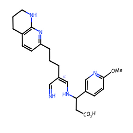 COc1ccc(C(CC(=O)O)N/C=C(\C=N)CCCc2ccc3c(n2)NCCC3)cn1